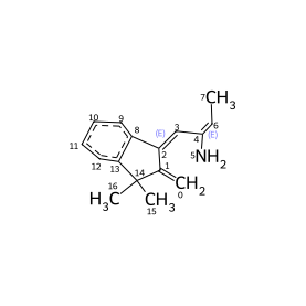 C=C1/C(=C\C(N)=C/C)c2ccccc2C1(C)C